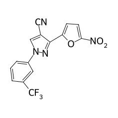 N#Cc1cn(-c2cccc(C(F)(F)F)c2)nc1-c1ccc([N+](=O)[O-])o1